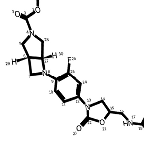 COC(=O)N1C[C@H]2CN(c3ccc(N4CC(CNC(C)=O)OC4=O)cc3F)[C@H]2C1